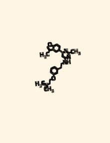 Cc1nc(NCCc2cccc(OCCN(C)C)c2)cc(-c2ccc3occ(C)c3c2)n1